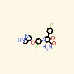 NC(=O)c1cn(-c2ccc(Oc3ccnc4c3CCN4)c(F)c2)cc(-c2ccc(F)cc2)c1=O